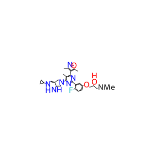 CNC[C@@H](O)COc1ccc(F)c(-c2nc(-c3c(C)noc3C)c(C)c(N3CC(=N)/C(=C\NC4CC4)C3)n2)c1